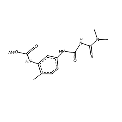 COC(=O)Nc1cc(NC(=O)NC(=S)N(C)C)ccc1C